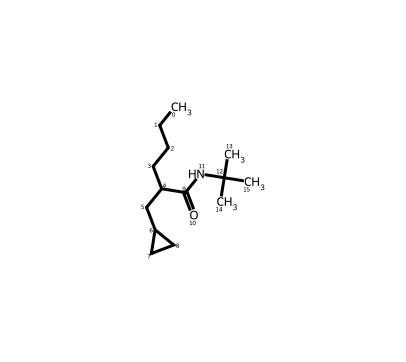 CCCCC(CC1CC1)C(=O)NC(C)(C)C